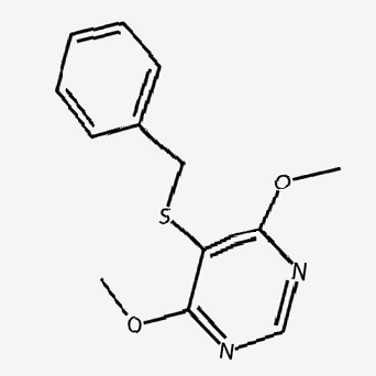 COc1ncnc(OC)c1SCc1ccccc1